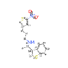 CC(NCCCc1csc([N+](=O)[O-])c1)c1csc2ccccc12